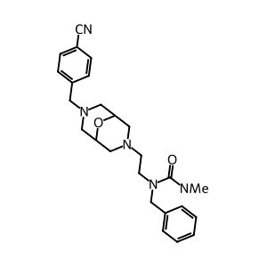 CNC(=O)N(CCN1CC2CN(Cc3ccc(C#N)cc3)CC(C1)O2)Cc1ccccc1